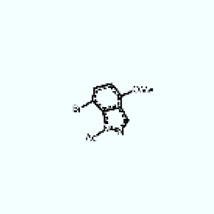 COc1ccc(Br)c2c1cnn2C(C)=O